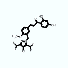 COc1ccc(/C=C/C(=O)c2ccc(O)cc2O)cc1Cn1nc(C(F)F)c(Cl)c1C(F)F